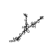 CC(C)(C)OC(=O)NOCCOCCOCCNC(=O)[C@H](CCCCNC(=O)COCCOCCN=[N+]=[N-])NC(=O)COCCOCCN=[N+]=[N-]